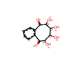 O=C1c2ccccc2C(=O)C(O)C(O)C(O)C1O